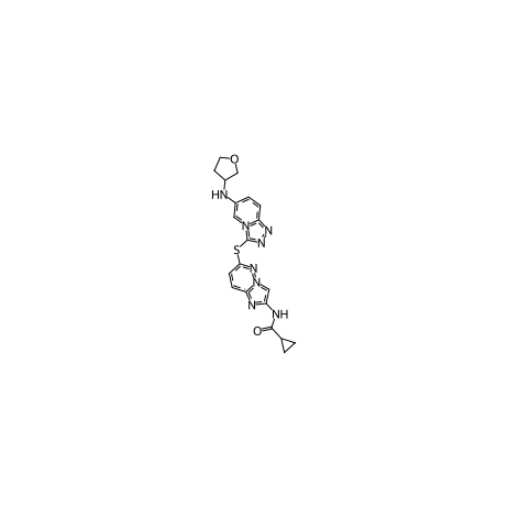 O=C(Nc1cn2nc(Sc3nnc4ccc(NC5CCOC5)cn34)ccc2n1)C1CC1